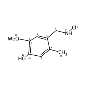 COc1cc(CNCl)c(C)cc1O